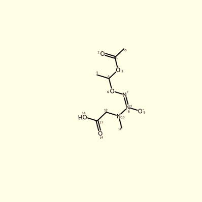 CC(=O)OC(C)O/N=[N+](/[O-])N(C)CC(=O)O